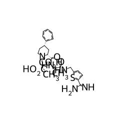 CC(=O)O.CC(NC(=O)[C@H]1C[C@@H](c2ccccc2)CCN1C(=O)O)C(=O)NCc1ccc(C(=N)N)s1